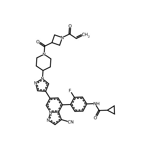 C=CC(=O)N1CC(C(=O)N2CCC(n3cc(-c4cc(-c5ccc(NC(=O)C6CC6)cc5F)c5c(C#N)cnn5c4)cn3)CC2)C1